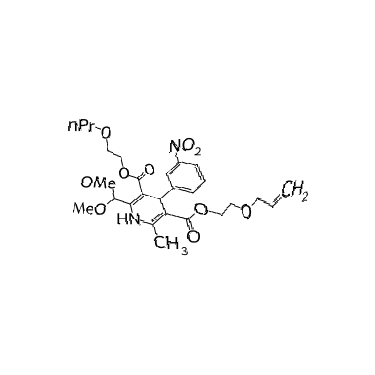 C=CCOCCOC(=O)C1=C(C)NC(C(OC)OC)=C(C(=O)OCCOCCC)C1c1cccc([N+](=O)[O-])c1